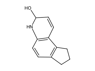 OC1C=Cc2c(ccc3c2CCC3)N1